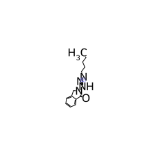 CCCCC/N=N/NN1Cc2ccccc2C1=O